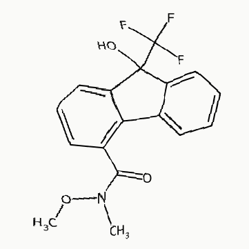 CON(C)C(=O)c1cccc2c1-c1ccccc1C2(O)C(F)(F)F